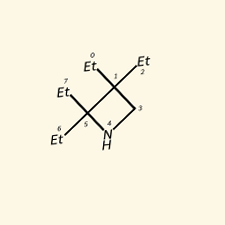 CCC1(CC)CNC1(CC)CC